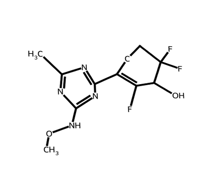 CONc1nc(C)nc(C2=C(F)C(O)C(F)(F)CC2)n1